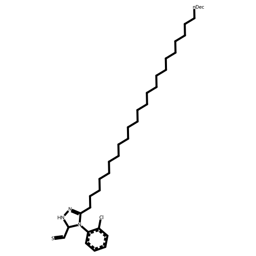 CCCCCCCCCCCCCCCCCCCCCCCCCCCCCCCCCC1=NNC(C=S)N1c1ccccc1Cl